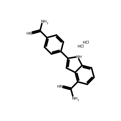 Cl.Cl.N=C(N)c1ccc(-c2cc3c(C(=N)N)cccc3[nH]2)cc1